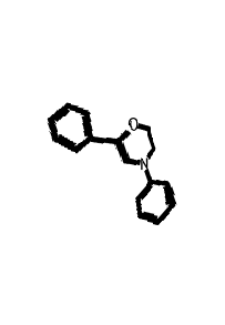 c1ccc(C2CN(c3ccccc3)CCO2)cc1